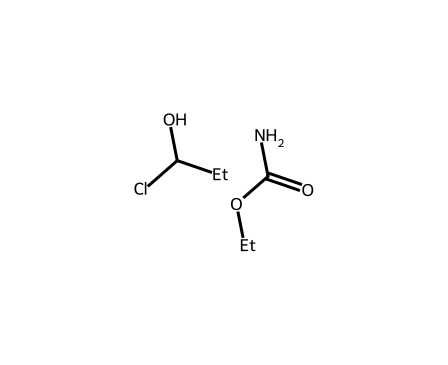 CCC(O)Cl.CCOC(N)=O